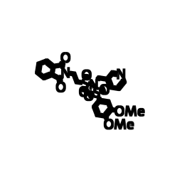 COc1ccc(S(=O)(=O)N(Cc2cccnc2)S(=O)(=O)CCN2C(=O)c3ccccc3C2=O)cc1OC